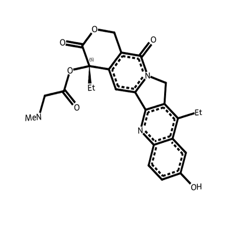 CCc1c2c(nc3ccc(O)cc13)-c1cc3c(c(=O)n1C2)COC(=O)[C@@]3(CC)OC(=O)CNC